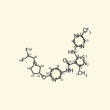 Cc1nsc(Nc2cnc(C(F)(F)F)cn2)c1C(=O)Nc1ccc(O[C@H]2CCN(CC(F)F)C2)nc1